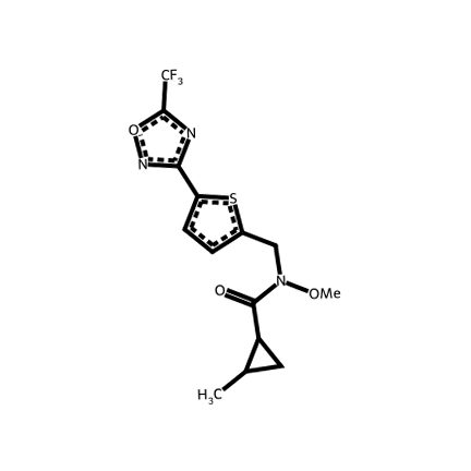 CON(Cc1ccc(-c2noc(C(F)(F)F)n2)s1)C(=O)C1CC1C